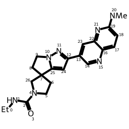 CCNC(=O)N1CCC2(CCn3nc(-c4cnc5ccc(NC)nc5c4)cc32)C1